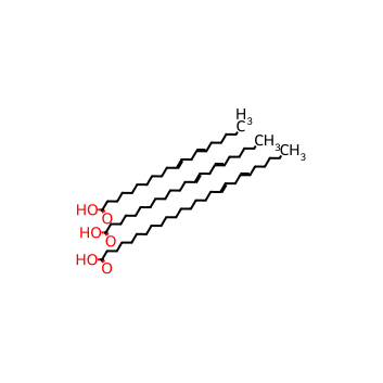 CCCCCC=CCC=CCCCCCCCCCC(=O)O.CCCCCC=CCC=CCCCCCCCCCCCC(=O)O.CCCCCC=CCC=CCCCCCCCCCCCCCCCC(=O)O